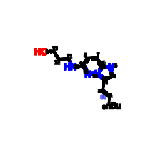 CCCC/C=C/c1cnc2ccc(NCCCO)nn12